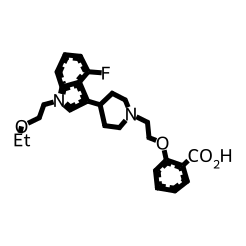 CCOCCn1cc(C2CCN(CCOc3ccccc3C(=O)O)CC2)c2c(F)cccc21